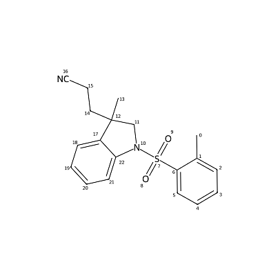 Cc1ccccc1S(=O)(=O)N1CC(C)(CCC#N)c2ccccc21